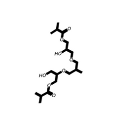 CC(COCC(O)COC(=O)C(C)C)COC(CO)COC(=O)C(C)C